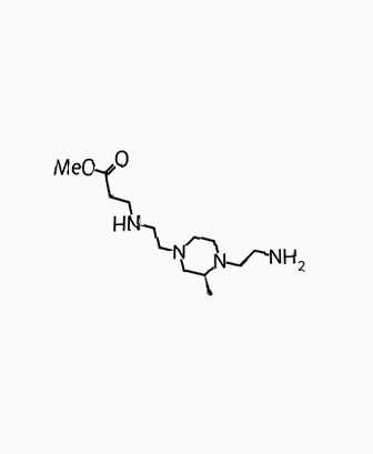 COC(=O)CCNCCN1CCN(CCN)[C@@H](C)C1